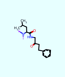 CC(C)CC(C(=O)NCC(=O)CCc1ccccc1)N(I)I